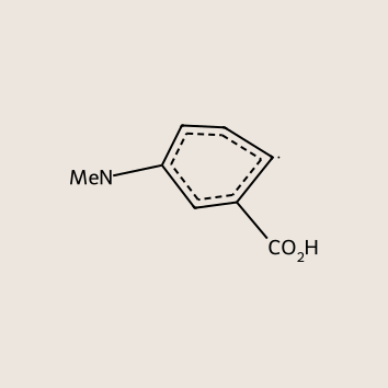 CNc1cc[c]c(C(=O)O)c1